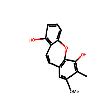 COc1cc2c(c(O)c1C)Oc1cccc(O)c1C=C2